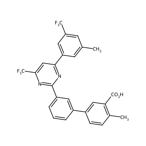 Cc1cc(-c2cc(C(F)(F)F)nc(-c3cccc(-c4ccc(C)c(C(=O)O)c4)c3)n2)cc(C(F)(F)F)c1